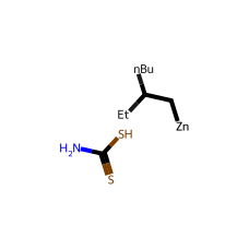 CCCCC(CC)[CH2][Zn].NC(=S)S